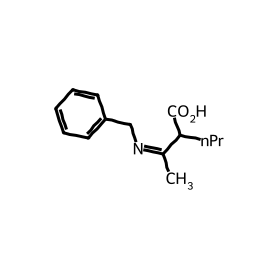 CCCC(C(=O)O)C(C)=NCc1ccccc1